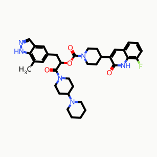 Cc1cc(CC(OC(=O)N2CCC(c3cc4cccc(F)c4[nH]c3=O)CC2)C(=O)N2CCC(N3CCCCC3)CC2)cc2cn[nH]c12